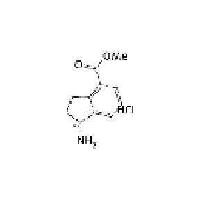 COC(=O)c1cccc2c1CC[C@H]2N.Cl